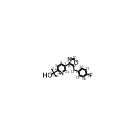 CC(C)(O)c1ccc(-c2ncoc2Cc2ccc(F)cc2)cn1